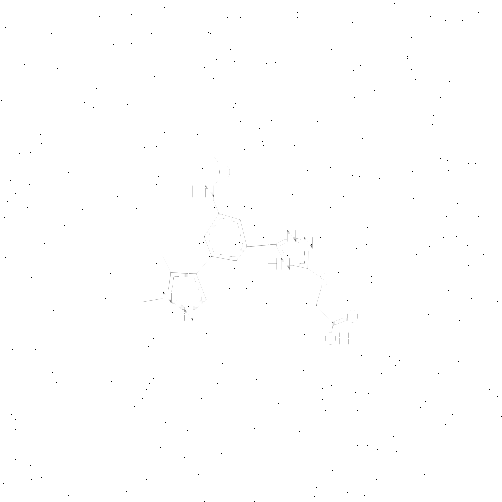 CONc1cc(-c2nnc(SCC(=O)O)[nH]2)cc(-c2cnn(C)c2C)c1